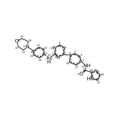 O=C(Nc1ccc(-c2ccnc([AsH]c3ccc(N4CCOCC4)cc3)n2)cc1)c1ncc[nH]1